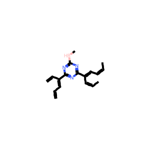 C=C/C=C(\C=C)c1nc(BC)nc(C(/C=C\C)=C/C=C\C)n1